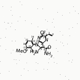 C=Cc1nc2c(C(N)=O)c(N)n(-c3c(C)ccc(OC)c3C)c2nc1C(F)(F)F